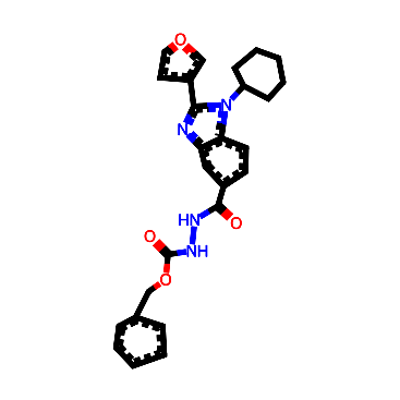 O=C(NNC(=O)c1ccc2c(c1)nc(-c1ccoc1)n2C1CCCCC1)OCc1ccccc1